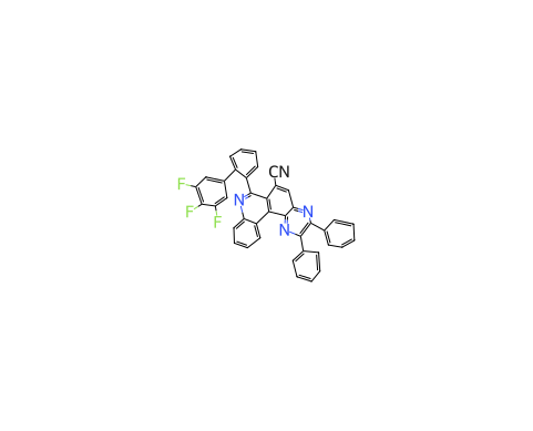 N#Cc1cc2nc(-c3ccccc3)c(-c3ccccc3)nc2c2c1c(-c1ccccc1-c1cc(F)c(F)c(F)c1)nc1ccccc12